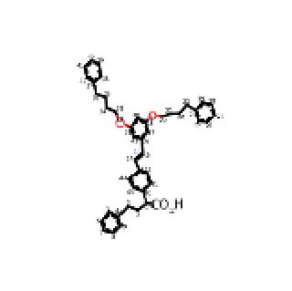 O=C(O)C(CCc1ccccc1)c1ccc(/C=C/c2cc(OCCCCc3ccccc3)cc(OCCCCc3ccccc3)c2)cc1